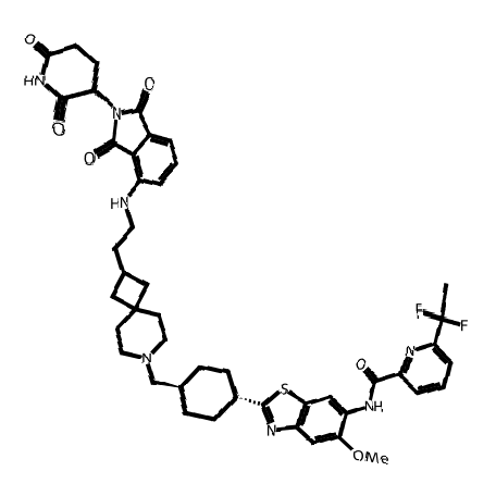 COc1cc2nc([C@H]3CC[C@H](CN4CCC5(CC4)CC(CCNc4cccc6c4C(=O)N(C4CCC(=O)NC4=O)C6=O)C5)CC3)sc2cc1NC(=O)c1cccc(C(C)(F)F)n1